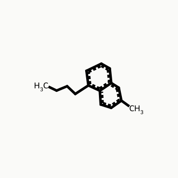 CCCCc1cccc2cc(C)ccc12